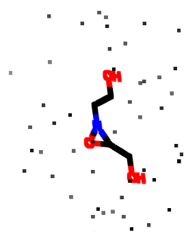 OCCN1OC1CO